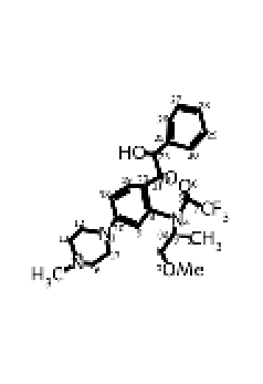 COC[C@H](C)N(C(=O)C(F)(F)F)c1cc(N2CCN(C)CC2)ccc1C(=O)C(O)c1ccccc1